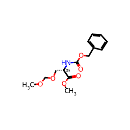 COCOC[C@H](NC(=O)OCc1ccccc1)C(=O)OC